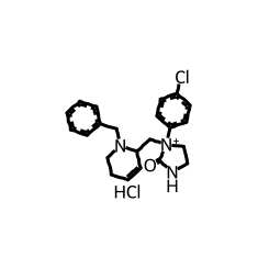 Cl.O=C1NCC[N+]1(CC1C=CCCN1Cc1ccccc1)c1ccc(Cl)cc1